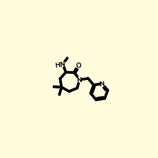 CNC1CC(C)(C)CCN(Cc2ccccn2)C1=O